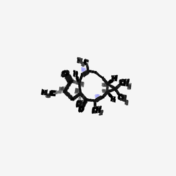 C/C1=C/[C@H]2C(=O)[C@@H](C)C[C@]2(O)C(=O)/C(C)=C\[C@@H]2[C@H](CC1)C2(C)C